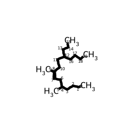 CCCCC(C)CC=C(C)CCC(CCC)CCCC